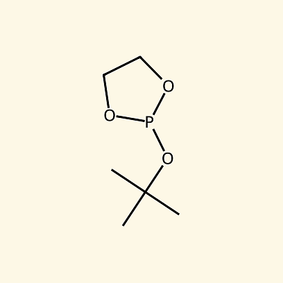 CC(C)(C)OP1OCCO1